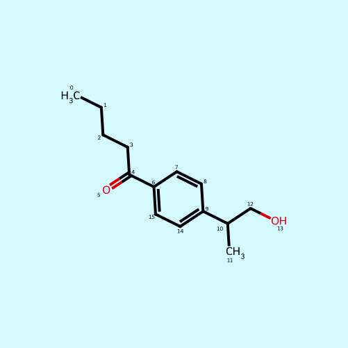 CCCCC(=O)c1ccc(C(C)CO)cc1